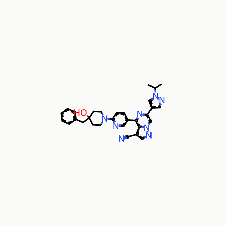 CC(C)n1cc(-c2cn3ncc(C#N)c3c(-c3ccc(N4CCC(O)(Cc5ccccc5)CC4)nc3)n2)cn1